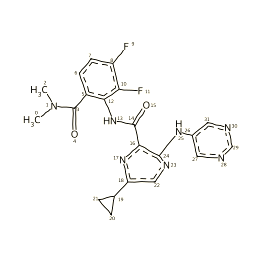 CN(C)C(=O)c1ccc(F)c(F)c1NC(=O)c1nc(C2CC2)cnc1Nc1cncnc1